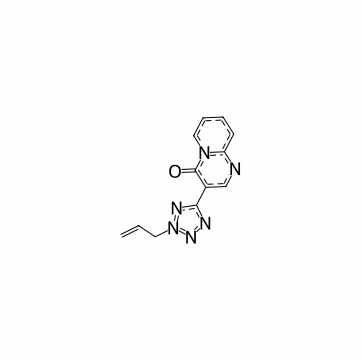 C=CCn1nnc(-c2cnc3ccccn3c2=O)n1